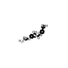 CN(C)CCOc1cccc(CN(CCO)C(=O)c2nc3ccc(-c4cn[nH]c4)cc3o2)c1